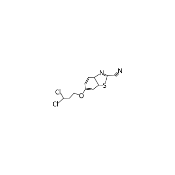 N#CC1=NC2C=CC(OCCC(Cl)Cl)=CC2S1